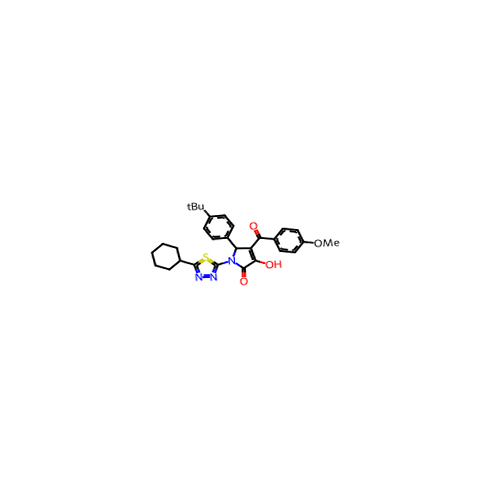 COc1ccc(C(=O)C2=C(O)C(=O)N(c3nnc(C4CCCCC4)s3)C2c2ccc(C(C)(C)C)cc2)cc1